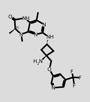 Cc1nc(N[C@H]2C[C@@](N)(COc3cncc(C(F)(F)F)c3)C2)nc2c1NC(=O)[C@H](C)N2C